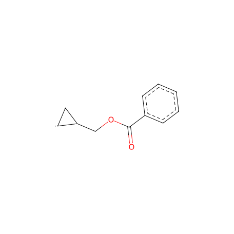 O=C(OCC1[CH]C1)c1ccccc1